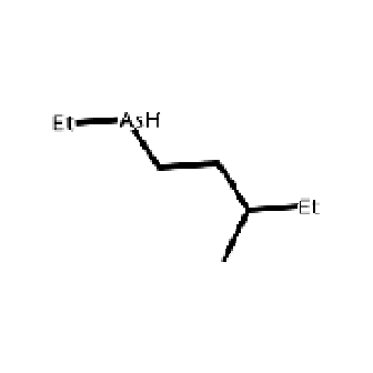 CC[AsH]CCC(C)CC